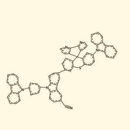 N#Cc1ccc2c(c1)c1cc(-c3ccc4c(c3)Sc3ccc(-n5c6ccccc6c6ccccc65)cc3C43c4cccnc4-c4ncccc43)ccc1n2-c1ccc(-n2c3ccccc3c3ccccc32)cc1